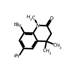 CC(C)c1cc(C(C)(C)C)c2c(c1)C(C)(C)CC(=O)N2C